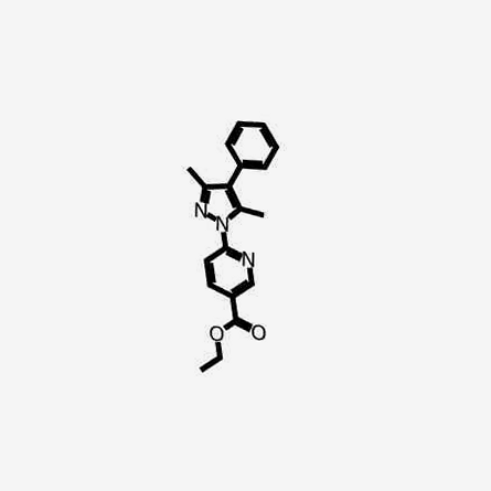 CCOC(=O)c1ccc(-n2nc(C)c(-c3ccccc3)c2C)nc1